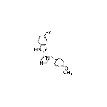 COc1ccc(Cn2cncc2-c2cc3cc(Br)ccc3[nH]2)cc1